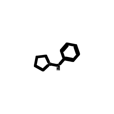 c1ccc(NN2CCCC2)cc1